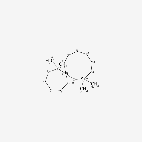 CC1(C)CCCCC[Si]12CCCCCC[Si](C)(C)O2